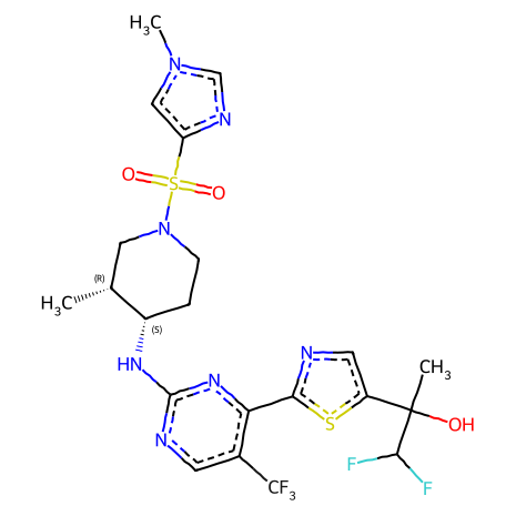 C[C@@H]1CN(S(=O)(=O)c2cn(C)cn2)CC[C@@H]1Nc1ncc(C(F)(F)F)c(-c2ncc(C(C)(O)C(F)F)s2)n1